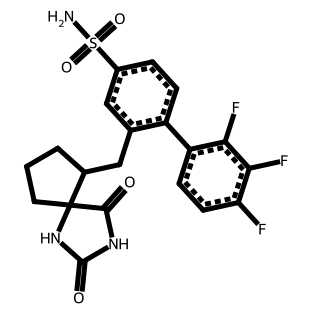 NS(=O)(=O)c1ccc(-c2ccc(F)c(F)c2F)c(CC2CCCC23NC(=O)NC3=O)c1